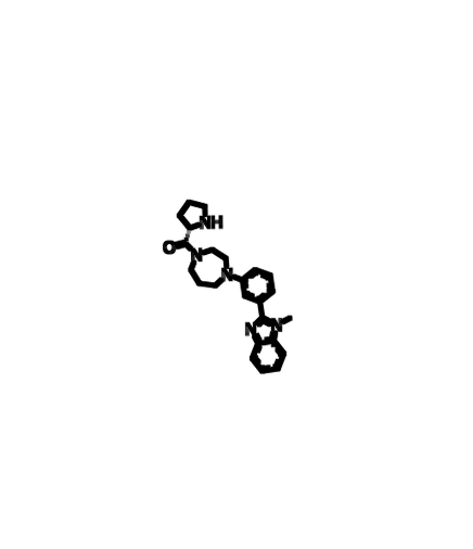 Cn1c(-c2cccc(N3CCCN(C(=O)[C@@H]4CCCN4)CC3)c2)nc2ccccc21